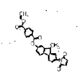 C=COC(=O)c1ccc(C(=O)Oc2ccc3c(c2)C(C)c2cc(N4C(=O)C=CC4=O)ccc2-3)cc1